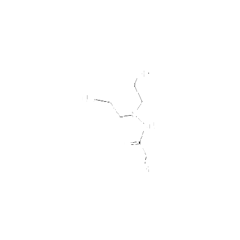 O=C(CO)NN(CCO)CCO